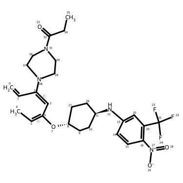 C=C/C(=C\C(=C/C)O[C@H]1CC[C@H](Nc2ccc([N+](=O)[O-])c(C(F)(F)F)c2)CC1)N1CCN(C(=O)CC)CC1